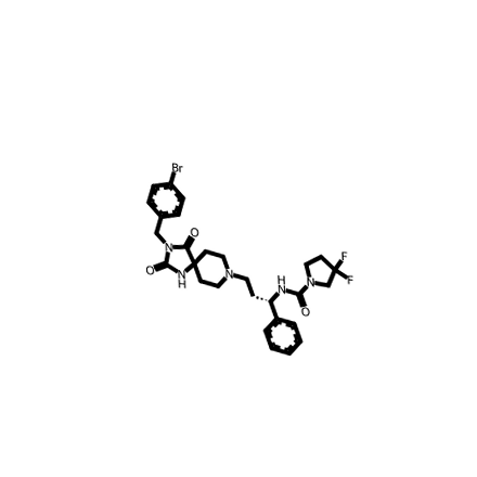 O=C(N[C@@H](CCN1CCC2(CC1)NC(=O)N(Cc1ccc(Br)cc1)C2=O)c1ccccc1)N1CCC(F)(F)C1